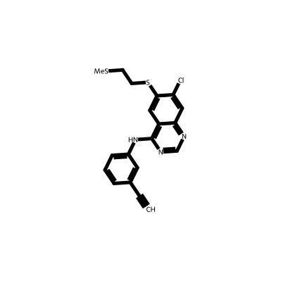 C#Cc1cccc(Nc2ncnc3cc(Cl)c(SCCSC)cc23)c1